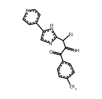 CCC(C(=N)C(=O)c1ccc(C(F)(F)F)cc1)c1ncc(-c2ccncc2)[nH]1